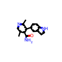 Cc1cnc(C)c(-c2ccc3[nH]ccc3c2)c1C(N)=O